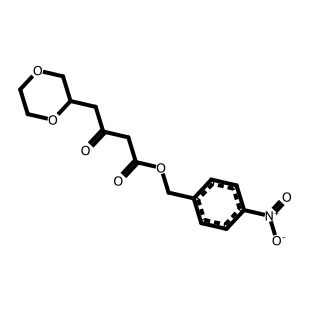 O=C(CC(=O)OCc1ccc([N+](=O)[O-])cc1)CC1COCCO1